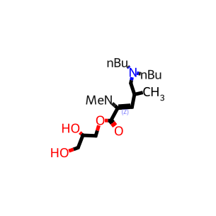 CCCCN(CCCC)CC(C)/C=C(\NC)C(=O)OCC(O)CO